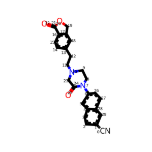 N#Cc1ccc2cc(N3CCN(CCc4ccc5c(c4)COC5=O)CC3=O)ccc2c1